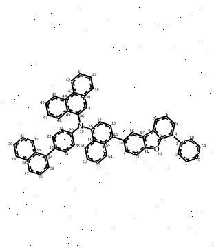 c1ccc(-c2cccc3c2oc2ccc(-c4ccc(N(c5ccc(-c6cccc7ccccc67)cc5)c5cc6ccccc6c6ccccc56)c5ccccc45)cc23)cc1